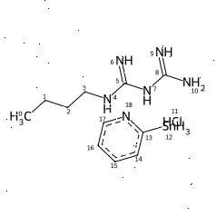 CCCCNC(=N)NC(=N)N.Cl.[SnH3][c]1ccccn1